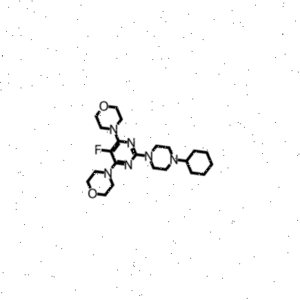 Fc1c(N2CCOCC2)nc(N2CCN(C3CCCCC3)CC2)nc1N1CCOCC1